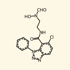 O=CN(O)CCNC(=O)c1c(Cl)ccc2nnn(-c3ccccc3)c12